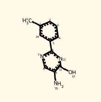 Cc1cccc(-c2ncc(N)c(O)n2)c1